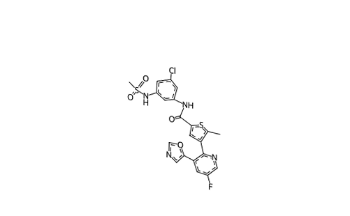 Cc1sc(C(=O)Nc2cc(Cl)cc(NS(C)(=O)=O)c2)cc1-c1ncc(F)cc1-c1cnco1